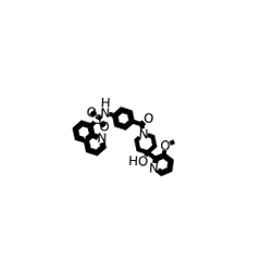 COc1cccnc1C1(O)CCN(C(=O)c2ccc(NS(=O)(=O)c3cccc4cccnc34)cc2)CC1